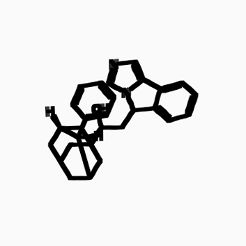 OC(CC1c2ccccc2-c2cncn21)C12CC3CC(C1)[C@@H](c1ccccc1)[C@H](C3)C2